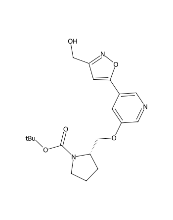 CC(C)(C)OC(=O)N1CCC[C@H]1COc1cncc(-c2cc(CO)no2)c1